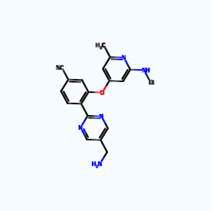 CCNc1cc(Oc2cc(C#N)ccc2-c2ncc(CN)cn2)cc(C)n1